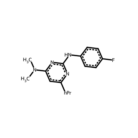 CCCc1cc(N(C)C)nc(Nc2ccc(F)cc2)n1